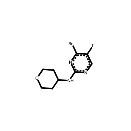 Clc1cnc(NC2CCOCC2)nc1Br